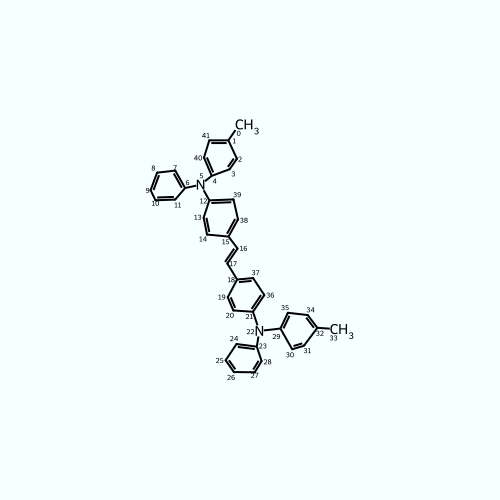 Cc1ccc(N(c2ccccc2)c2ccc(/C=C/c3ccc(N(c4ccccc4)c4ccc(C)cc4)cc3)cc2)cc1